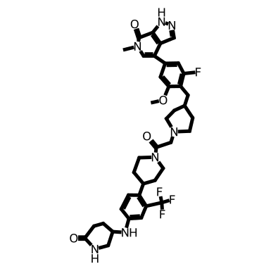 COc1cc(-c2cn(C)c(=O)c3[nH]ncc23)cc(F)c1CC1CCN(CC(=O)N2CCC(c3ccc(NC4CCC(=O)NC4)cc3C(F)(F)F)CC2)CC1